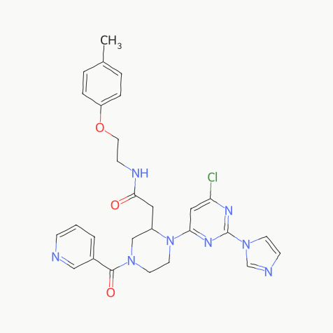 Cc1ccc(OCCNC(=O)CC2CN(C(=O)c3cccnc3)CCN2c2cc(Cl)nc(-n3ccnc3)n2)cc1